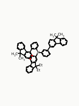 CCC1(CC)c2ccccc2-c2ccc(N(c3cccc(-c4ccc5c(c4)-c4ccccc4C5(C)C)c3)c3ccccc3-c3cccc4c3-c3ccccc3C4(C)C)cc21